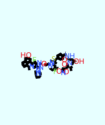 CCc1cccc2cc(O)cc(-c3ncc4c(N5CC6CCC(C5)N6)nc(OCCN5CCC(F)(COc6cc([C@H](C(=O)N7C[C@H](O)C[C@H]7C(=O)N[C@@H](C)c7ccc(-c8scnc8C)cc7)C(C)C)on6)CC5)nc4c3F)c12